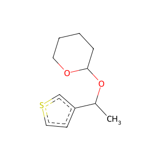 CC(OC1CCCCO1)c1ccsc1